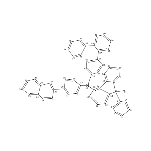 CC1(c2ccccc2)c2ccccc2-c2c(N(c3ccc(-c4ccc5ccccc5c4)cc3)c3ccc(-c4ccccc4-c4ccccc4)cc3)cccc21